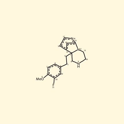 COc1ccc(CCC23CNCCN2c2cc3ccn2)cc1F